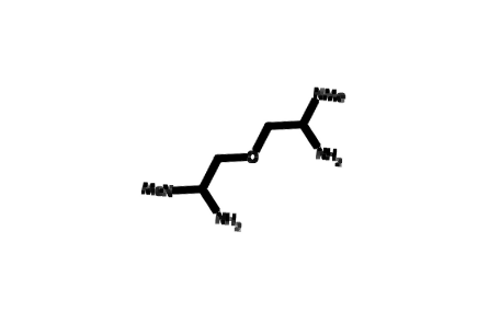 CNC(N)COCC(N)NC